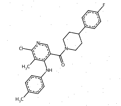 Cc1ccc(Nc2c(C(=O)N3CCC(c4ccc(F)cc4)CC3)cnc(Cl)c2C)cc1